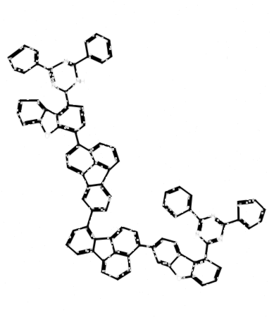 c1ccc(C2=NC(c3ccc(-c4ccc5c6c(cccc46)-c4ccc(-c6cccc7c6-c6ccc(-c8ccc9c(c8)oc8cccc(-c%10nc(-c%11ccccc%11)nc(-c%11ccccc%11)n%10)c89)c8cccc-7c68)cc4-5)c4oc5ccccc5c34)NC(c3ccccc3)=N2)cc1